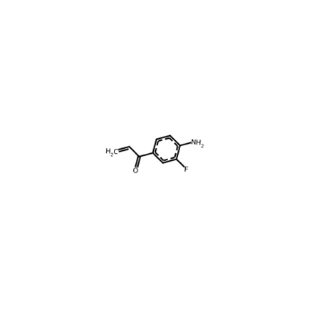 C=CC(=O)c1ccc(N)c(F)c1